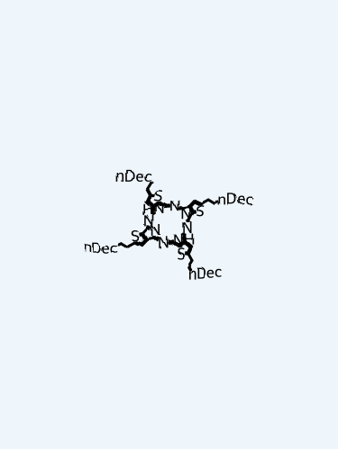 CCCCCCCCCCCCc1cc2c(s1)-c1nc-2nc2[nH]c(nc3nc(nc4[nH]c(n1)c1cc(CCCCCCCCCCCC)sc41)-c1cc(CCCCCCCCCCCC)sc1-3)c1cc(CCCCCCCCCCCC)sc21